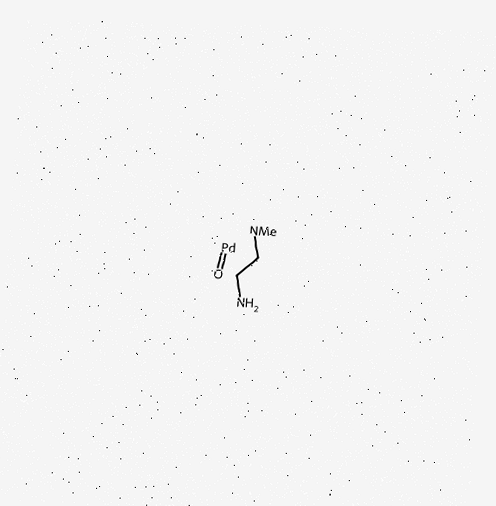 CNCCN.[O]=[Pd]